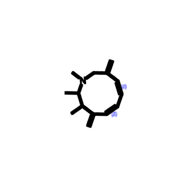 C=C1/C=C\C=C/C(=C)C(C)C(C)N(C)C1